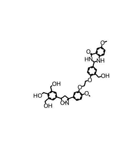 COc1ccc2c(c1)C(=O)NC(c1ccc(OCCOc3cc(C4=NOC(c5cc(CO)c(CO)c(CO)c5)C4)ccc3OC)c(CO)c1)N2